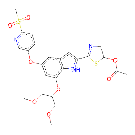 COCC(COC)Oc1cc(Oc2ccc(S(C)(=O)=O)nc2)cc2cc(C3=NCC(OC(C)=O)S3)[nH]c12